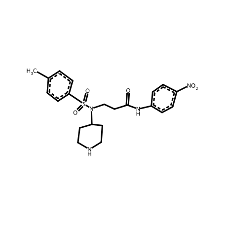 Cc1ccc(S(=O)(=O)N(CCC(=O)Nc2ccc([N+](=O)[O-])cc2)C2CCNCC2)cc1